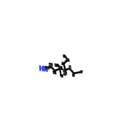 CCCC(C)(CCC)C(C)(C)CC=N